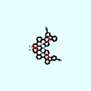 CC(C)c1cc2c3c(c1)N(c1c(-c4ccccc4)cccc1-c1ccccc1)c1cc(-n4c5ccccc5c5cc(C#N)ccc54)ccc1B3c1ccc(-n3c4ccccc4c4cc(C#N)ccc43)cc1N2c1c(-c2ccccc2)cccc1-c1ccccc1